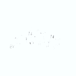 CN1c2ccc(Br)cc2Oc2cc(-c3ccccn3)ccc21